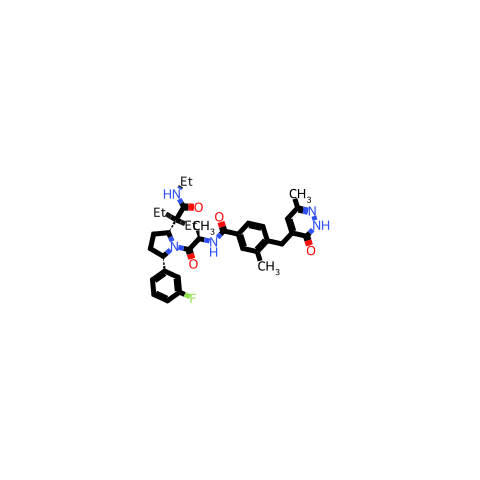 CCNC(=O)C(CC)(CC)[C@H]1CC[C@@H](c2cccc(F)c2)N1C(=O)[C@@H](C)NC(=O)c1ccc(Cc2cc(C)n[nH]c2=O)c(C)c1